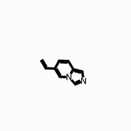 C=Cc1ccc2cncn2c1